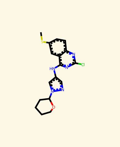 CSc1ccc2nc(Cl)nc(Nc3cnn(C4CCCCO4)c3)c2c1